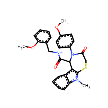 COc1ccc(N2C(=O)CSc3c(c4ccccc4n3C)C2C(=O)NCc2ccccc2OC)cc1